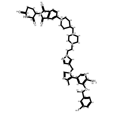 Cc1ncn(Cc2cnn(CCN3CCN(CC4CCN(c5ccc6c(c5)C(=O)N(C5CCC(=O)NC5=O)C6=O)CC4)CC3)c2)c1-c1cnc(N)c(O[C@H](C)c2cccc(F)c2)c1